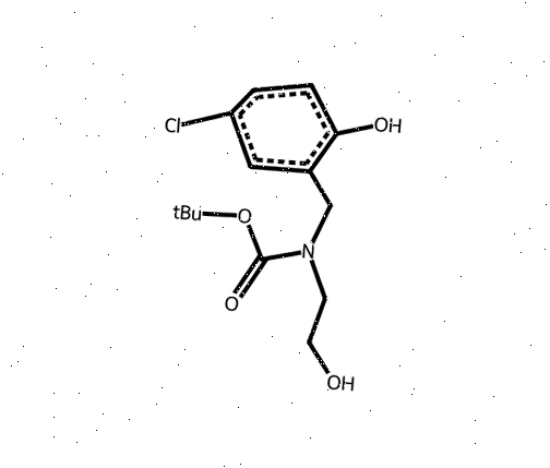 CC(C)(C)OC(=O)N(CCO)Cc1cc(Cl)ccc1O